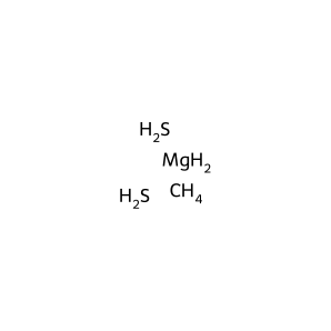 C.S.S.[MgH2]